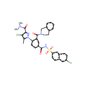 CCCCN(CCCC)C(=O)c1nn(-c2ccc(C(=O)NS(=O)(=O)c3ccc4cc(Cl)ccc4c3)cc2C(=O)N2CCc3ccccc3C2)c(C)c1Cl